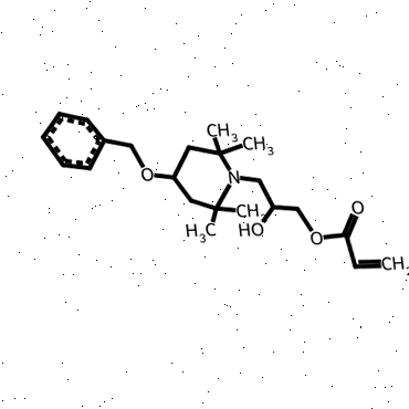 C=CC(=O)OCC(O)CN1C(C)(C)CC(OCc2ccccc2)CC1(C)C